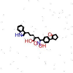 O=C(O)[C@@H](CCCc1c[nH]c2ccccc12)CC(=NO)c1ccc2c3c(oc2c1)CCC3